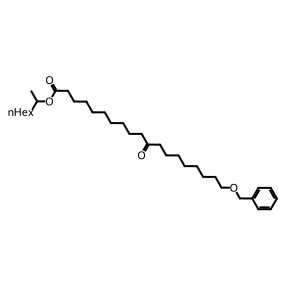 CCCCCCC(C)OC(=O)CCCCCCCCCC(=O)CCCCCCCCOCc1ccccc1